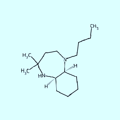 CCCCN1CCC(C)(C)N[C@@H]2CCCC[C@@H]21